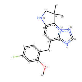 COc1cc(F)ccc1Cc1cc2c(n3ncnc13)C(C)(C)CN2